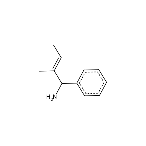 CC=C(C)C(N)c1ccccc1